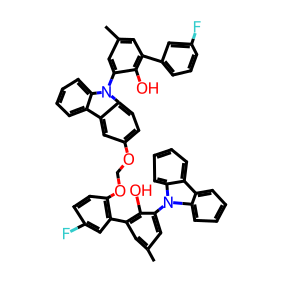 Cc1cc(-c2cccc(F)c2)c(O)c(-n2c3ccccc3c3cc(OCOc4ccc(F)cc4-c4cc(C)cc(-n5c6ccccc6c6ccccc65)c4O)ccc32)c1